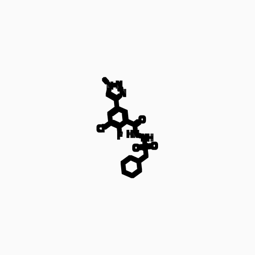 Cn1cc(-c2cc(Cl)c(F)c(C(=O)NNS(=O)(=O)CC3CCCCC3)c2)nn1